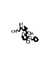 O=NNCC1(C(O)c2occc(=O)c2OCc2ccccc2)CC1